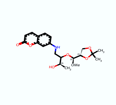 CO[C@@H](OC(CNc1ccc2ccc(=O)oc2c1)[C@@H](C)O)[C@@H]1COC(C)(C)O1